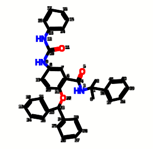 CC(C)(NC(=O)c1cc(NC(=O)Nc2ccccc2)ccc1OC(c1ccccc1)c1ccccc1)c1ccccc1